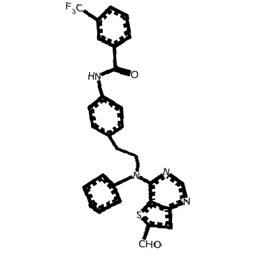 O=Cc1cc2ncnc(N(CCc3ccc(NC(=O)c4cccc(C(F)(F)F)c4)cc3)c3ccccc3)c2s1